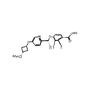 CC[C@@H](Oc1ccc(C(=O)OC)c(F)c1F)c1ccc(O[C@H]2C[C@H](OC)C2)cn1